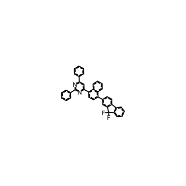 FC1(F)c2ccccc2-c2ccc(-c3ccc(-c4cc(-c5ccccc5)nc(-c5ccccc5)n4)c4ccccc34)cc21